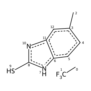 CC(F)(F)F.Cc1ccc2[nH]c(S)nc2c1